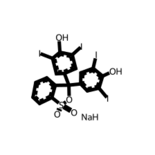 O=S1(=O)OC(c2cc(I)c(O)c(I)c2)(c2cc(I)c(O)c(I)c2)c2ccccc21.[NaH]